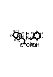 COC(=O)[C@@H](N[C@@H](CO)c1ccccc1)C1CC2CCC(C1)N2